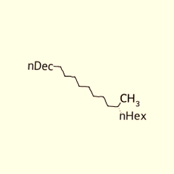 CCCCCCCCCCCCCCCCCC[C@H](C)CCCCCC